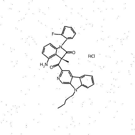 CCCCn1c2ccccc2c2cc(C(=O)[C@@]3(C)C(=O)N(c4ccccc4F)c4cccc(N)c43)ncc21.Cl